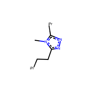 CC(C)CCc1nnc(C(C)C)n1C